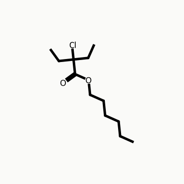 CCCCCCOC(=O)C(Cl)(CC)CC